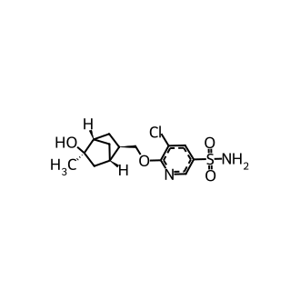 C[C@@]1(O)C[C@@H]2C[C@H]1C[C@H]2COc1ncc(S(N)(=O)=O)cc1Cl